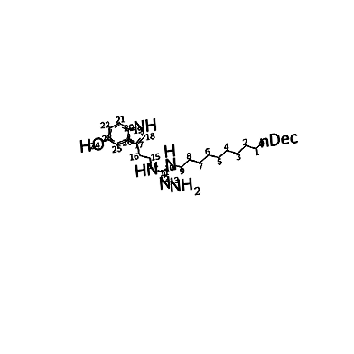 CCCCCCCCCCCCCCCCCCCN/C(=N\N)NCCc1c[nH]c2ccc(O)cc12